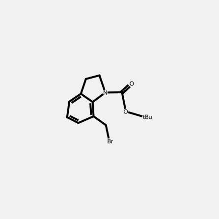 CC(C)(C)OC(=O)N1CCc2cccc(CBr)c21